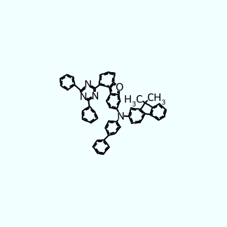 CC1(C)c2ccccc2-c2ccc(N(c3ccc(-c4ccccc4)cc3)c3ccc4c(c3)oc3cccc(-c5nc(-c6ccccc6)nc(-c6ccccc6)n5)c34)cc21